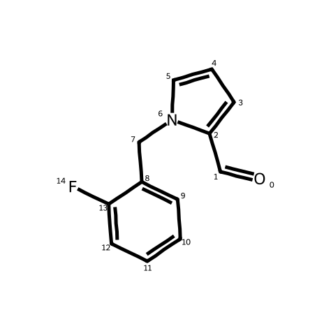 O=Cc1cccn1Cc1ccccc1F